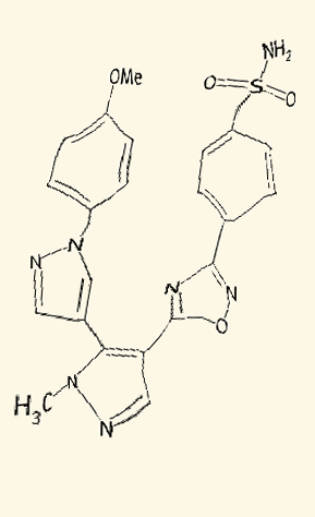 COc1ccc(-n2cc(-c3c(-c4nc(-c5ccc(S(N)(=O)=O)cc5)no4)cnn3C)cn2)cc1